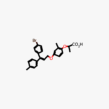 Cc1ccc(C(=CCOc2ccc(OC(C)C(=O)O)c(C)c2)c2ccc(Br)cc2)cc1